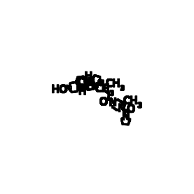 CC(CCC(=O)N1CCN(C(=O)N2CCCC2)[C@@H](C)C1)[C@H]1CC[C@H]2[C@@H]3CC=C4C[C@@H](O)CC[C@]4(C)[C@H]3CC[C@]12C